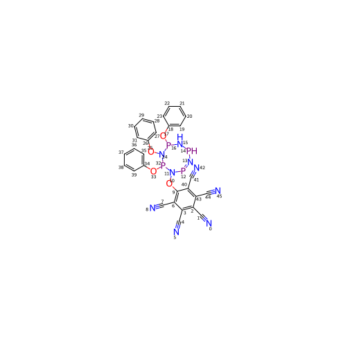 N#Cc1c(C#N)c(C#N)c(On2pn[pH][nH]p(Oc3ccccc3)n(Oc3ccccc3)p2Oc2ccccc2)c(C#N)c1C#N